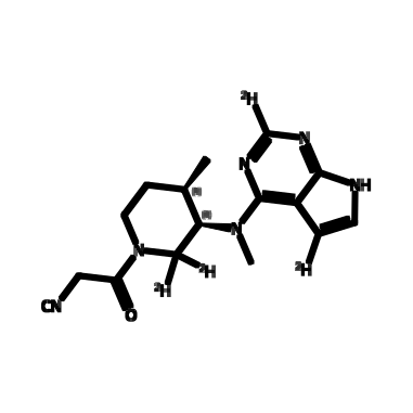 [2H]c1nc(N(C)[C@@H]2[C@H](C)CCN(C(=O)C[N+]#[C-])C2([2H])[2H])c2c([2H])c[nH]c2n1